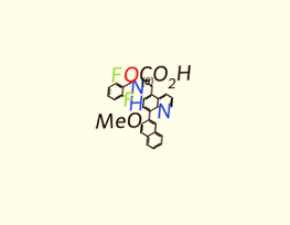 COc1cc2ccccc2cc1-c1ccc(C[C@H](NC(=O)c2c(F)cccc2F)C(=O)O)c2cccnc12